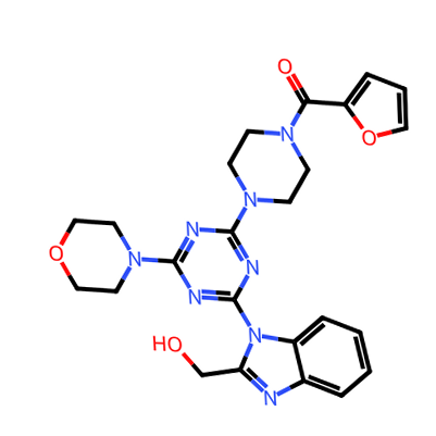 O=C(c1ccco1)N1CCN(c2nc(N3CCOCC3)nc(-n3c(CO)nc4ccccc43)n2)CC1